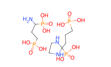 NC(CCP(=O)(O)O)P(=O)(O)O.O=P(O)(O)CCCC1(P(=O)(O)O)NCCN1